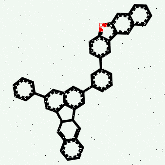 C1=c2ccccc2=CC2c3cc(-c4cccc(-c5ccc6oc7cc8ccccc8cc7c6c5)c4)cc4cc(-c5ccccc5)cc(c34)C12